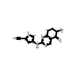 N#Cc1cc(Nc2ncc3c(n2)CCC(Br)C3=O)cs1